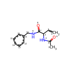 C=CC(NC(C)=O)C(=O)NCc1ccccc1